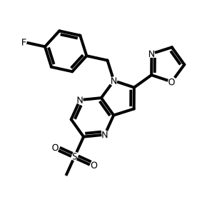 CS(=O)(=O)c1cnc2c(cc(-c3ncco3)n2Cc2ccc(F)cc2)n1